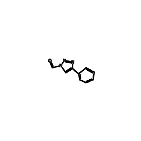 O=Cn1cc(-c2ccccc2)nn1